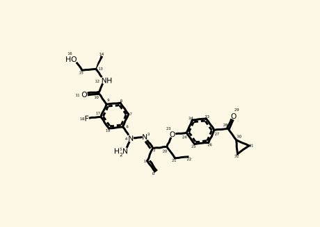 C=C/C(=N\N(N)c1ccc(C(=O)N[C@H](C)CO)c(F)c1)C(CC)Oc1ccc(C(=O)C2CC2)cc1